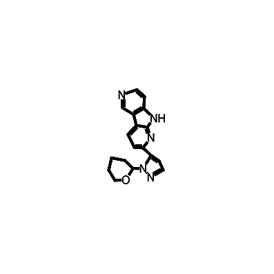 c1cc2[nH]c3nc(-c4ccnn4C4CCCCO4)ccc3c2cn1